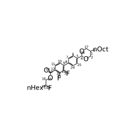 CCCCCCCCC1COC(c2ccc(-c3ccc(C(=O)OCC(F)CCCCCC)c(F)c3F)cc2)OC1